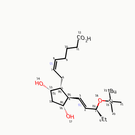 CC[C@@H](/C=C/[C@@H]1[C@@H](C/C=C\CCCC(=O)O)[C@@H](O)C[C@H]1O)O[Si](C)(C)C(C)(C)C